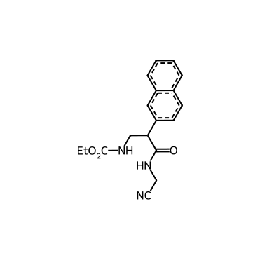 CCOC(=O)NCC(C(=O)NCC#N)c1ccc2ccccc2c1